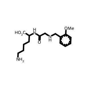 COc1ccccc1CNCC(=O)NC(CCCCN)C(=O)O